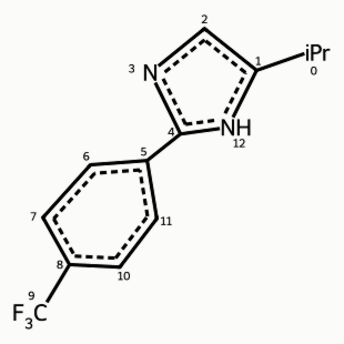 CC(C)c1cnc(-c2ccc(C(F)(F)F)cc2)[nH]1